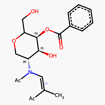 CC(=O)/C(C)=C\N(C(C)=O)[C@@H]1COC(CO)[C@@H](OC(=O)c2ccccc2)[C@H]1O